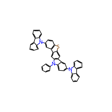 c1ccc(-n2c3ccc(-n4c5ccccc5c5ccccc54)cc3c3cc4sc5ccc(-n6c7ccccc7c7ccccc76)cc5c4cc32)cc1